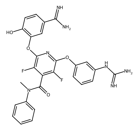 CN(C(=O)c1c(F)c(Oc2cccc(NC(=N)N)c2)nc(Oc2cc(C(=N)N)ccc2O)c1F)c1ccccc1